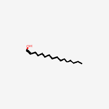 CCCCCCCCCCCCCC/C=C\O